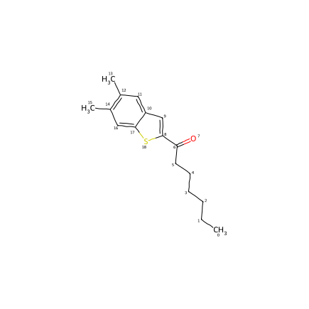 CCCCCCC(=O)c1cc2cc(C)c(C)cc2s1